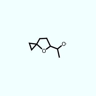 CC([O])C1CCC2(CC2)O1